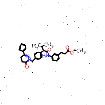 CCOC(=O)CCc1cccc(NC(=O)C(c2ccc(CN3N=C(c4ccccc4)CCC3=O)cc2)C(C)C)c1